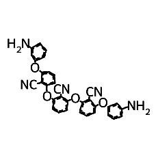 N#Cc1c(Oc2cccc(N)c2)cccc1Oc1cccc(Oc2cccc(Oc3cccc(N)c3)c2C#N)c1C#N